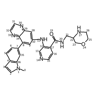 Cn1ccc2ccc(-c3cc(Nc4cnccc4C(=O)NCC4COCCN4)cc4nccnc34)cc21